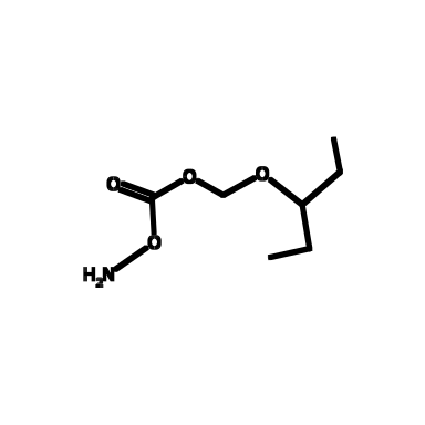 CCC(CC)OCOC(=O)ON